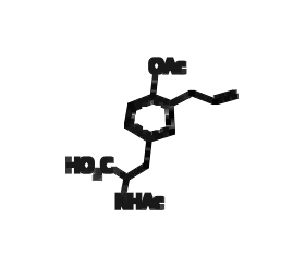 C=CCc1cc(CC(NC(C)=O)C(=O)O)ccc1OC(C)=O